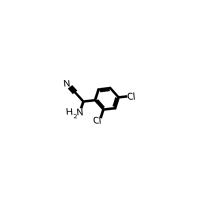 N#CC(N)c1ccc(Cl)cc1Cl